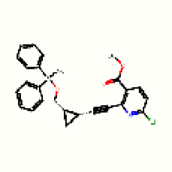 CC(C)(C)OC(=O)c1ccc(Cl)nc1C#C[C@@H]1C[C@@H]1CO[Si](c1ccccc1)(c1ccccc1)C(C)(C)C